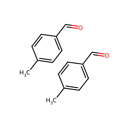 Cc1ccc(C=O)cc1.Cc1ccc(C=O)cc1